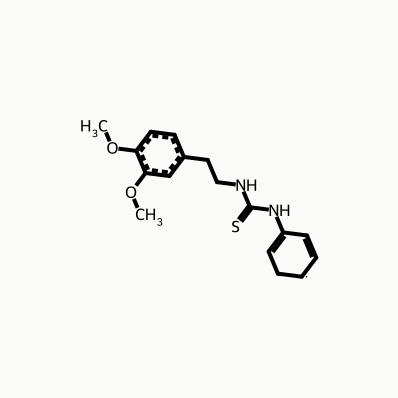 COc1ccc(CCNC(=S)NC2=CC[CH]C=C2)cc1OC